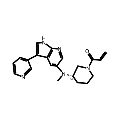 C=CC(=O)N1CCC[C@H](N(C)c2cnc3[nH]cc(-c4cccnc4)c3c2)C1